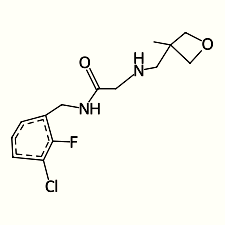 CC1(CNCC(=O)NCc2cccc(Cl)c2F)COC1